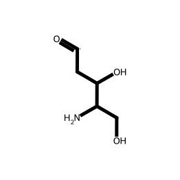 NC(CO)C(O)C[C]=O